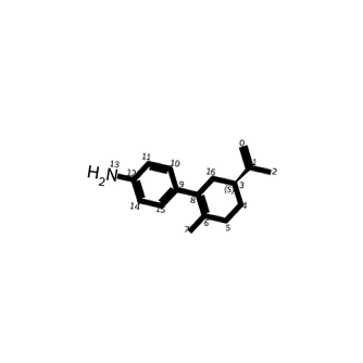 C=C(C)[C@H]1CCC(C)=C(c2ccc(N)cc2)C1